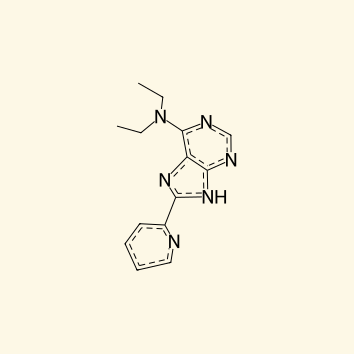 CCN(CC)c1ncnc2[nH]c(-c3ccccn3)nc12